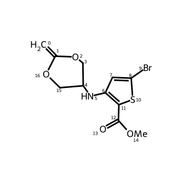 C=C1OCC(Nc2cc(Br)sc2C(=O)OC)CO1